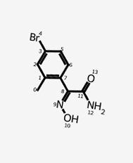 Cc1cc(Br)ccc1C(=NO)C(N)=O